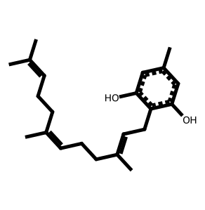 CC(C)=CCCC(C)=CCC/C(C)=C/Cc1c(O)cc(C)cc1O